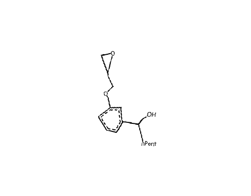 CCCCCC(O)c1cccc(OCC2CO2)c1